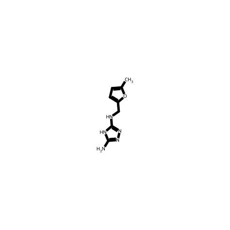 Cc1ccc(CNc2nnc(N)[nH]2)o1